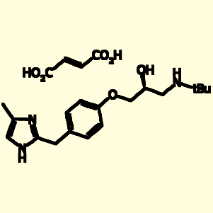 Cc1c[nH]c(Cc2ccc(OC[C@@H](O)CNC(C)(C)C)cc2)n1.O=C(O)C=CC(=O)O